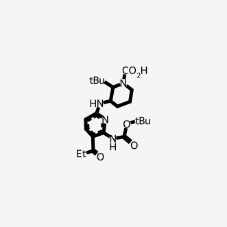 CCC(=O)c1ccc(NC2CCCN(C(=O)O)C2C(C)(C)C)nc1NC(=O)OC(C)(C)C